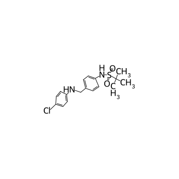 CC(C)(C)S(=O)(=O)Nc1ccc(CNc2ccc(Cl)cc2)cc1